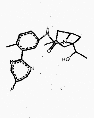 Cc1ccc(NC(=O)N2C3CC(C)CC2(C(C)O)C3)cc1-c1ncc(F)cn1